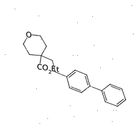 CCOC(=O)C1(CCc2ccc(-c3ccccc3)cc2)CCOCC1